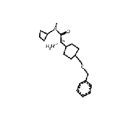 CN(C(=O)[C@@H](N)C1CCC(CCCc2ccccc2)CC1)C1CCC1